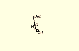 CCCCCCCCCCCCCCCCCC(=O)NCSc1ccc(O)cc1